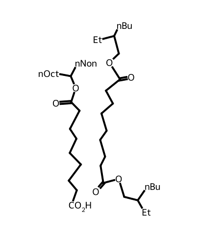 CCCCC(CC)COC(=O)CCCCCCCC(=O)OCC(CC)CCCC.CCCCCCCCCC(CCCCCCCC)OC(=O)CCCCCCCC(=O)O